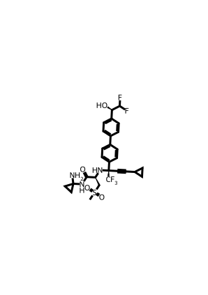 CS(=O)(=O)C[C@H](N[C@@](C#CC1CC1)(c1ccc(-c2ccc([C@@H](O)C(F)F)cc2)cc1)C(F)(F)F)C(=O)NC1(N)CC1